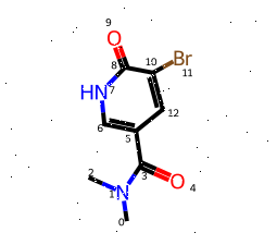 CN(C)C(=O)c1c[nH]c(=O)c(Br)c1